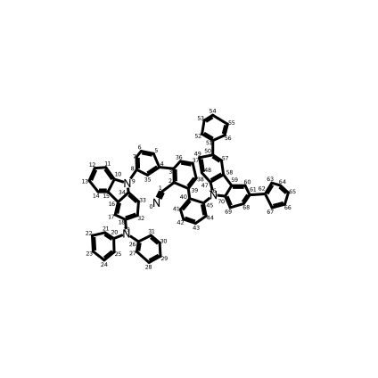 N#Cc1c(-c2cccc(-n3c4ccccc4c4cc(N(c5ccccc5)c5ccccc5)ccc43)c2)cccc1-c1ccccc1-n1c2ccc(-c3ccccc3)cc2c2cc(-c3ccccc3)ccc21